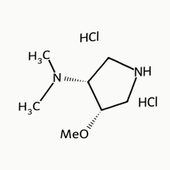 CO[C@H]1CNC[C@H]1N(C)C.Cl.Cl